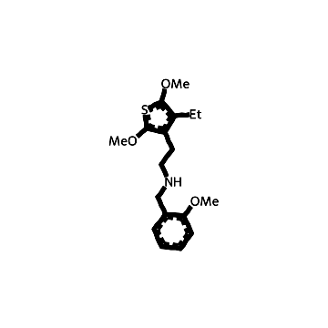 CCc1c(OC)sc(OC)c1CCNCc1ccccc1OC